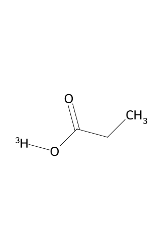 [3H]OC(=O)CC